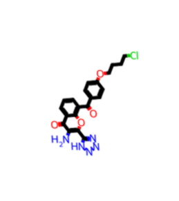 Nc1c(-c2nnn[nH]2)oc2c(C(=O)c3ccc(OCCCCCl)cc3)cccc2c1=O